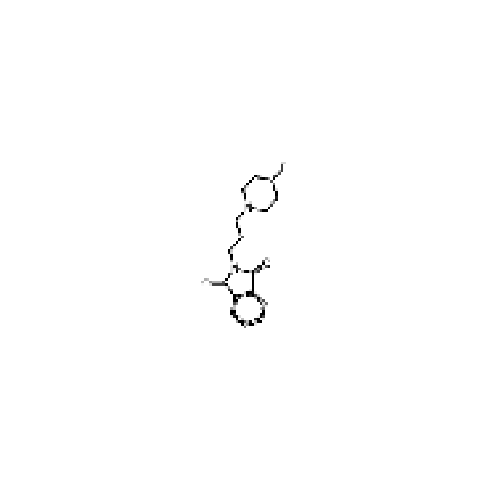 O=C1c2ccccc2C(=O)N1CCCN1CCC(F)CC1